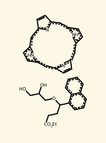 C1=Cc2cc3ccc(cc4nc(cc5ccc(cc1n2)[nH]5)C=C4)[nH]3.CCOC(=O)CCC(OCC(O)CO)c1cccc2ccccc12